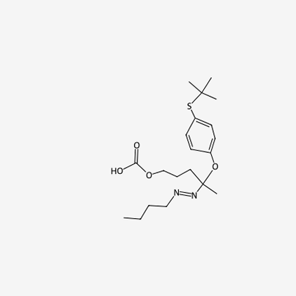 CCCCN=NC(C)(CCCOC(=O)O)Oc1ccc(SC(C)(C)C)cc1